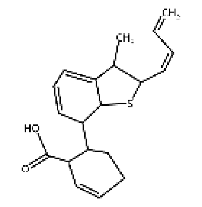 C=C/C=C\C1SC2C(=CC=CC2C2CCC=CC2C(=O)O)C1C